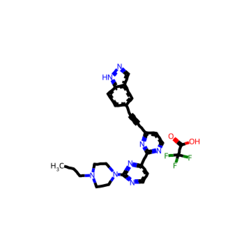 CCCN1CCN(c2nccc(-c3nccc(C#Cc4ccc5[nH]ncc5c4)n3)n2)CC1.O=C(O)C(F)(F)F